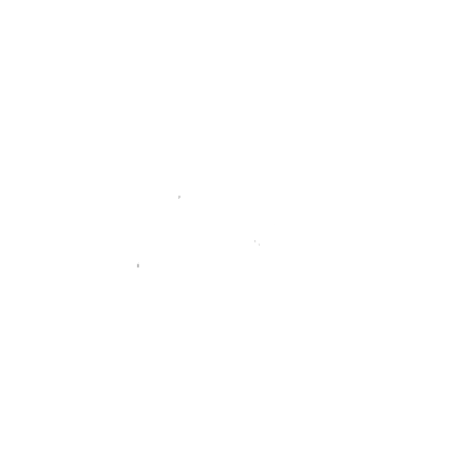 O=COCC(NC(C(=O)O)C(O)C(=O)O)OC=O